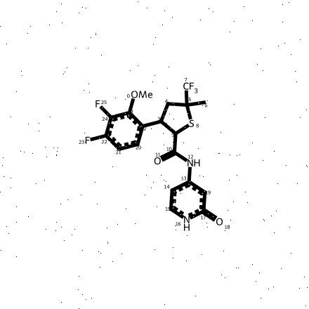 COc1c(C2CC(C)(C(F)(F)F)SC2C(=O)Nc2cc[nH]c(=O)c2)ccc(F)c1F